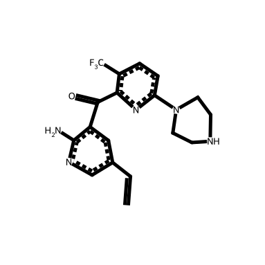 C=Cc1cnc(N)c(C(=O)c2nc(N3CCNCC3)ccc2C(F)(F)F)c1